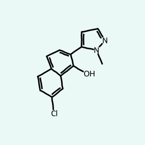 Cn1nccc1-c1ccc2ccc(Cl)cc2c1O